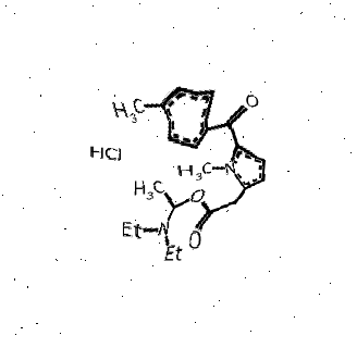 CCN(CC)C(C)OC(=O)Cc1ccc(C(=O)c2ccc(C)cc2)n1C.Cl